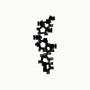 CC(=O)N1C[C@H]2C[C@@H](Nc3ncc4c(-c5ccn6nccc6c5)c[nH]c4n3)C[C@H]2C1